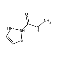 NNC(=O)[SH]1NC=CS1